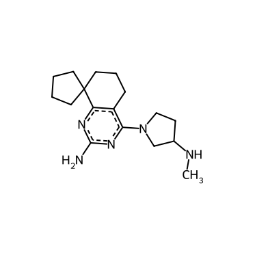 CNC1CCN(c2nc(N)nc3c2CCCC32CCCC2)C1